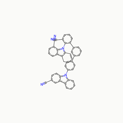 N#Cc1ccc2c(c1)c1ccccc1n2-c1ccc(-c2cccc(-c3cccc(C#N)c3-n3c4c(c5cccc(C#N)c53)CCC=C4)c2)cc1